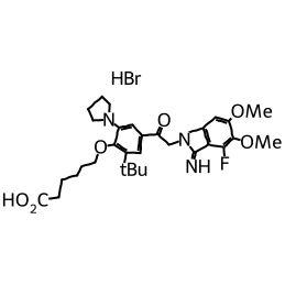 Br.COc1cc2c(c(F)c1OC)C(=N)N(CC(=O)c1cc(N3CCCC3)c(OCCCCCC(=O)O)c(C(C)(C)C)c1)C2